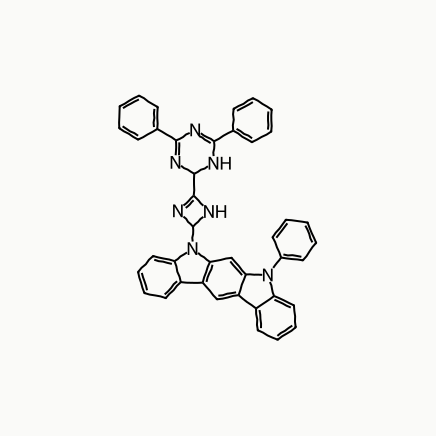 c1ccc(C2=NC(C3=NC(n4c5ccccc5c5cc6c7ccccc7n(-c7ccccc7)c6cc54)N3)NC(c3ccccc3)=N2)cc1